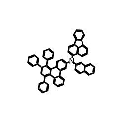 c1ccc(-c2cc(-c3ccccc3)c3c4ccccc4c4cc(N(c5ccc6ccccc6c5)c5ccc6c7c(cccc57)-c5ccccc5-6)ccc4c3c2-c2ccccc2)cc1